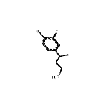 NCCC(O)c1ccc(Cl)c(F)c1